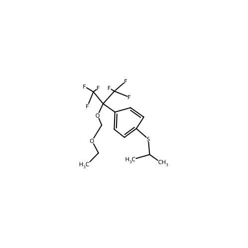 CCOCOC(c1ccc(SC(C)C)cc1)(C(F)(F)F)C(F)(F)F